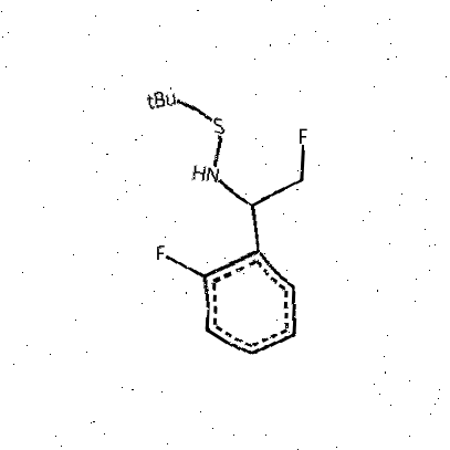 CC(C)(C)SNC(CF)c1ccccc1F